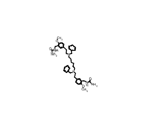 COc1ccc(CCN(CCCCCCN(CCc2ccc(OC)c(CNC(N)=O)c2)Cc2ccccc2)Cc2ccccc2)cc1CNC(N)=O